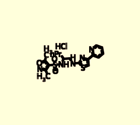 CCCC(CNc1nc(-c2ccccn2)cs1)NS(=O)(=O)c1c(C)noc1C.Cl